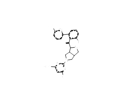 Cc1cccc(-c2cccc(F)c2C(=O)C2NCC3CN(c4nc(C)cc(C)n4)CC32)n1